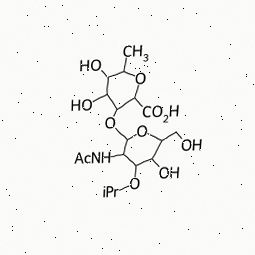 CC(=O)NC1C(OC2C(C(=O)O)OC(C)C(O)C2O)OC(CO)C(O)C1OC(C)C